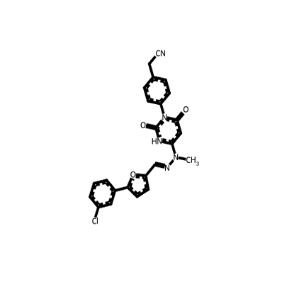 CN(/N=C/c1ccc(-c2cccc(Cl)c2)o1)c1cc(=O)n(-c2ccc(CC#N)cc2)c(=O)[nH]1